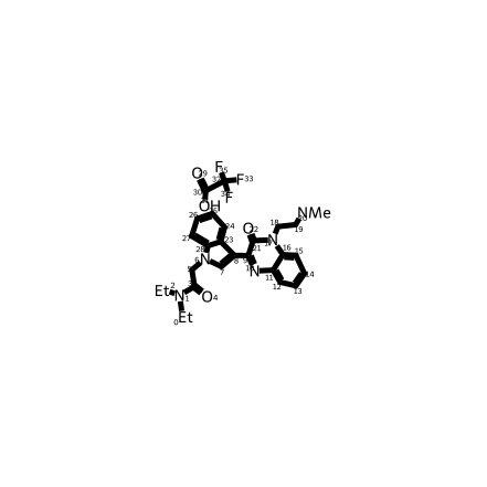 CCN(CC)C(=O)Cn1cc(-c2nc3ccccc3n(CCNC)c2=O)c2ccccc21.O=C(O)C(F)(F)F